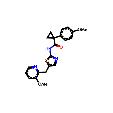 COc1ccc(C2(C(=O)Nc3ncc(Cc4ncccc4OC)s3)CC2)cc1